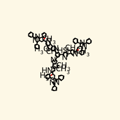 CC(Cc1c(-c2ccccc2)nc(-c2ccccc2)nc1-c1ccccc1)C1=CC2=C(CN1)c1cnc(-c3cc(-c4cc5c(cn4)-c4cnc(C(C)Cc6c(-c7ccccc7)nc(-c7ccccc7)nc6-c6ccccc6)cc4[SiH]5C)cc(-c4cc5c(cn4)-c4cnc(C(C)Cc6c(-c7ccccc7)nc(-c7ccccc7)nc6-c6ccccc6)cc4[Si]5(C)C)c3)cc1[Si]2(C)C